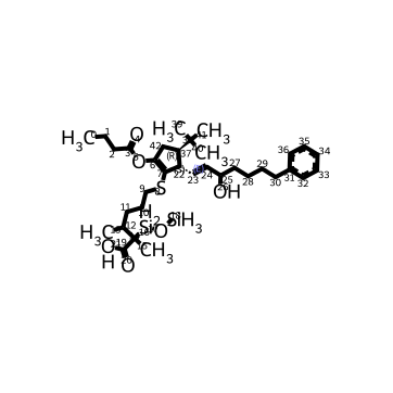 CCCC(=O)OC1=C(SCCCC(C)C(C)([SiH2]O[SiH3])C(=O)O)[C@@H](/C=C/C(O)CCCCc2ccccc2)[C@H](C(C)(C)C)C1